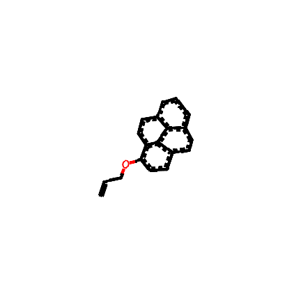 C=CCOc1ccc2ccc3cccc4ccc1c2c34